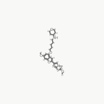 COc1cc(OCCCCCNC2CCOCC2)c2cc(-c3cn4nc(OC)sc4n3)oc2c1